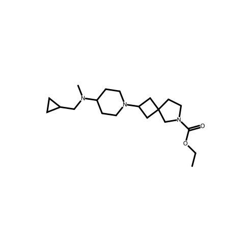 CCOC(=O)N1CCC2(CC(N3CCC(N(C)CC4CC4)CC3)C2)C1